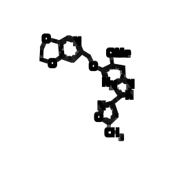 COc1cc2nnc(-c3cc(C)on3)n2nc1OCc1cc2c(cn1)OCCO2